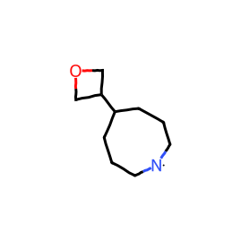 C1C[N]CCCC(C2COC2)C1